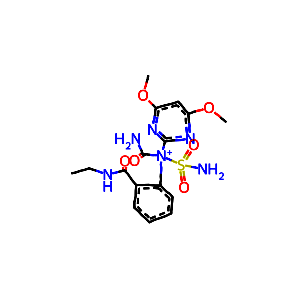 CCNC(=O)c1ccccc1[N+](C(N)=O)(c1nc(OC)cc(OC)n1)S(N)(=O)=O